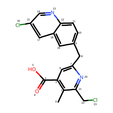 Cc1c(C(=O)O)cc(Cc2ccc3ncc(Cl)cc3c2)nc1CCl